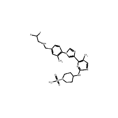 Cc1cc(CNCC(F)F)ccc1-n1cnc(-c2nc(NC3CCN(S(C)(=O)=O)CC3)ncc2C(F)(F)F)c1